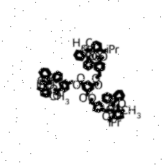 Cc1ccc(CC(C)C)c(C(=O)P(=O)(c2ccccc2)c2ccccc2)c1OC(=O)c1ccc(COC(=O)c2cc(C(=O)OCc3ccc(C(=O)Oc4c(CC(C)C)ccc(C)c4C(=O)P(=O)(c4ccccc4)c4ccccc4)cc3)cc(C(=O)OCc3ccc(C(=O)Oc4c(CC(C)C)ccc(C)c4C(=O)P(=O)(c4ccccc4)c4ccccc4)cc3)c2)cc1